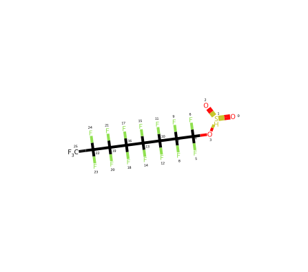 O=[SH](=O)OC(F)(F)C(F)(F)C(F)(F)C(F)(F)C(F)(F)C(F)(F)C(F)(F)C(F)(F)F